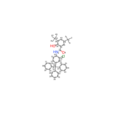 CC(C)(C)c1cc(C(=O)Nc2ccc(C(c3ccccc3)(c3ccccc3)c3ccccc3)cc2Cl)c(O)c(C(C)(C)C)c1